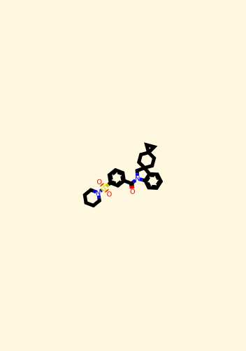 O=C(c1cccc(S(=O)(=O)N2CCCCC2)c1)N1CC2(CCC3(CC3)CC2)c2ccccc21